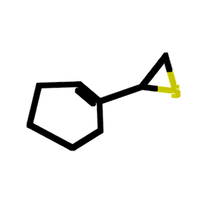 C1=C(C2CS2)CCCC1